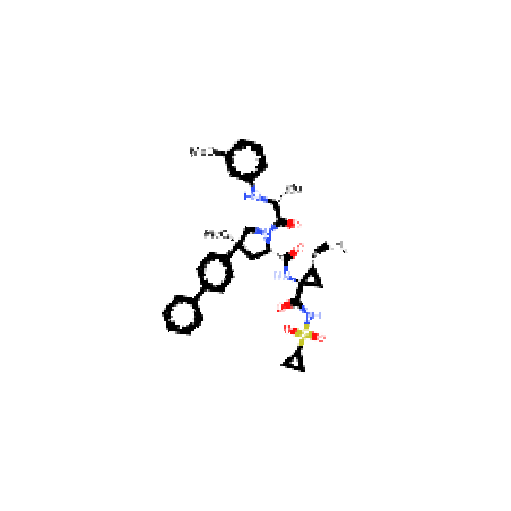 C=C[C@@H]1C[C@]1(NC(=O)[C@@H]1C[C@@](OC)(c2ccc(-c3ccccc3)cc2)CN1C(=O)[C@H](Nc1cccc(OC)c1)C(C)(C)C)C(=O)NS(=O)(=O)C1CC1